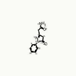 NC(=O)CC1=NN(c2ccccc2)C(=O)C1